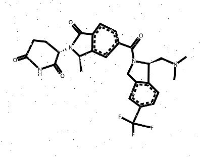 C[C@@H]1c2cc(C(=O)N3Cc4cc(C(F)(F)F)ccc4[C@@H]3CN(C)C)ccc2C(=O)N1[C@H]1CCC(=O)NC1=O